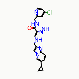 N=N/C(=C\NCc1cn2cc(C3CC3)ccc2n1)C(=O)NCc1cc(Cl)ccn1